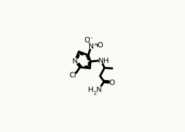 CC(CC(N)=O)Nc1cc(Cl)ncc1[N+](=O)[O-]